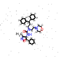 Cc1noc(-c2ccccc2)c1NC(=O)N(CCC(c1ccccc1)c1ccccc1)CCN1CCOCC1